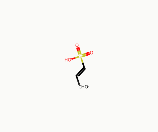 O=[C]C=CS(=O)(=O)O